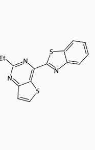 CCc1nc(-c2nc3ccccc3s2)c2sccc2n1